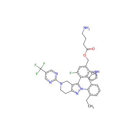 CCc1cccc(CC)c1-n1nc2c(c1-c1c(F)cc(COC(=O)CCCN)c3[nH]ccc13)CN(c1ncc(C(F)(F)F)cn1)CC2